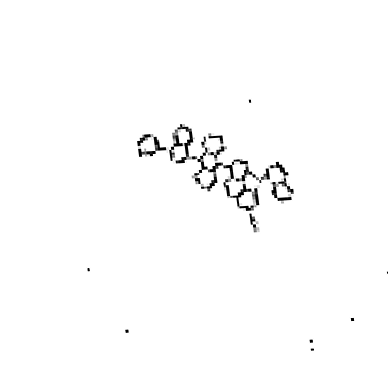 N#Cc1cc2ccc3c(-c4c5ccccc5c(-c5ccc(-c6cccnc6)c6ccccc56)c5ccccc45)ccc4c3c2c(c1)n4-c1cccc2ccccc12